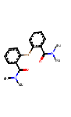 CCC(C)N(C(=O)c1ccccc1Sc1ccccc1C(=O)N(C(C)CC)C(C)CC)C(C)CC